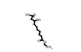 CCOC(=O)CCCCCCC(O)CC(=O)O